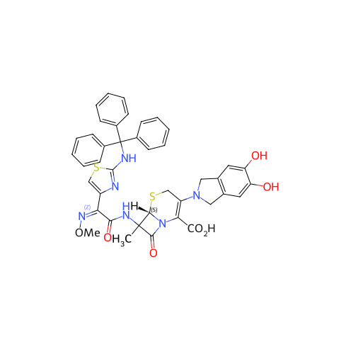 CO/N=C(\C(=O)NC1(C)C(=O)N2C(C(=O)O)=C(N3Cc4cc(O)c(O)cc4C3)CS[C@H]21)c1csc(NC(c2ccccc2)(c2ccccc2)c2ccccc2)n1